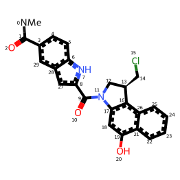 CNC(=O)c1ccc2[nH]c(C(=O)N3C[C@@H](CCl)c4c3cc(O)c3ccccc43)cc2c1